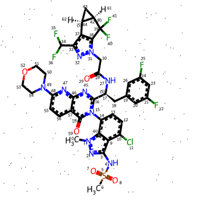 Cn1nc(NS(C)(=O)=O)c2c(Cl)ccc(-n3c([C@H](Cc4cc(F)cc(F)c4)NC(=O)Cn4nc(C(F)F)c5c4C(F)(F)[C@@H]4C[C@H]54)nc4nc(N5CCOCC5)ccc4c3=O)c21